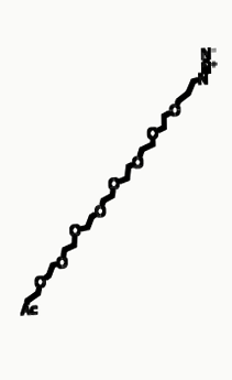 CC(=O)CCOCCOCCOCCOCCOCCOCCOCCOCCCN=[N+]=[N-]